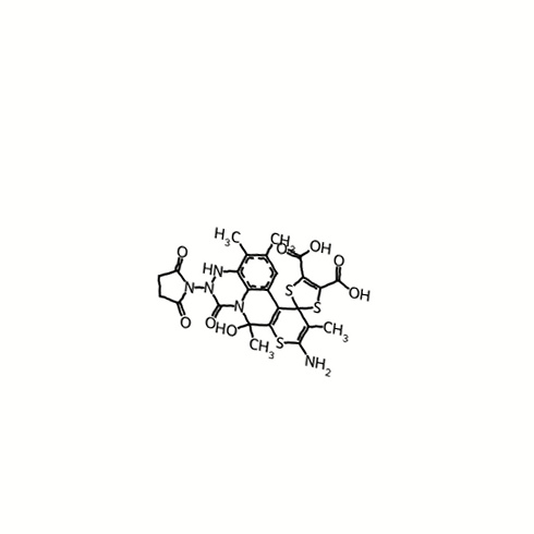 CC1=C(N)SC2=C(c3cc(C)c(C)c4c3N(C(=O)N(N3C(=O)CCC3=O)N4)C2(C)O)C12SC(C(=O)O)=C(C(=O)O)S2